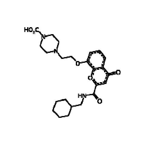 O=C(NCC1CCCCC1)c1cc(=O)c2cccc(OCCN3CCN(C(=O)O)CC3)c2o1